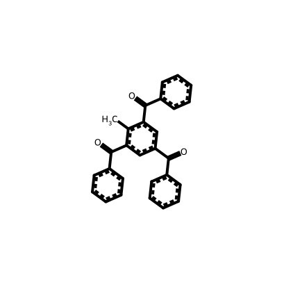 Cc1c(C(=O)c2ccccc2)cc(C(=O)c2ccccc2)cc1C(=O)c1ccccc1